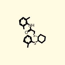 Cc1ccccc1S[C@@H]1CCCC[C@H]1SCC(=O)Nc1c(C)cccc1C